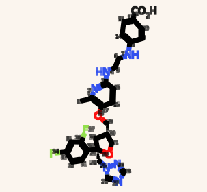 Cc1nc(NCCNc2ccc(C(=O)O)cc2)ccc1OC[C@@H]1CO[C@@](Cn2cncn2)(c2ccc(F)cc2F)C1